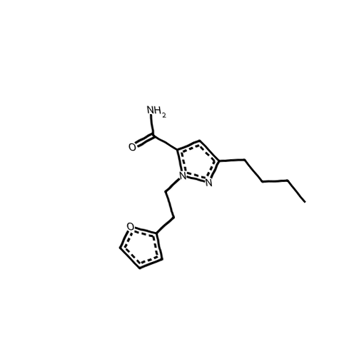 CCCCc1cc(C(N)=O)n(CCc2ccco2)n1